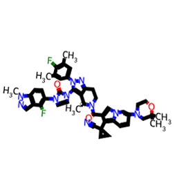 Cc1cc(-n2nc3c(c2-n2ccn(-c4ccc5c(cnn5C)c4F)c2=O)[C@H](C)N(C(=O)c2cn4cc(N5CCOC(C)(C)C5)ccc4c2C2(C#N)CC2)CC3)cc(C)c1F